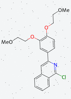 COCCOc1ccc(-c2cc3ccccc3c(Cl)n2)cc1OCCOC